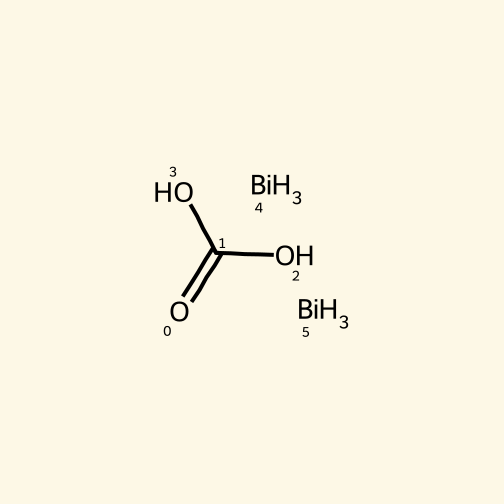 O=C(O)O.[BiH3].[BiH3]